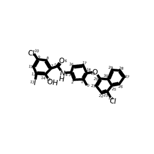 Cc1cc(NC(=O)c2cc(Cl)cc(I)c2O)ccc1Oc1ccc(Cl)c2ccccc12